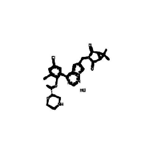 Cc1cc(Cl)cc(-c2ncnn3cc(CN4C(=O)C5C(C4=O)C5(C)C)cc23)c1OC(C)[C@@H]1CNCCO1.Cl